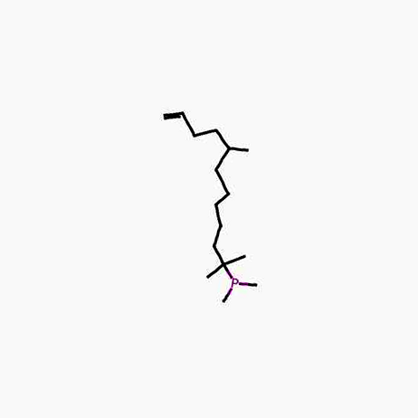 C=CCCC(C)CCCCCC(C)(C)P(C)C